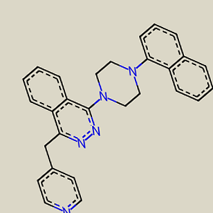 c1ccc2c(N3CCN(c4nnc(Cc5ccncc5)c5ccccc45)CC3)cccc2c1